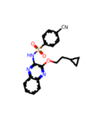 N#Cc1ccc(S(=O)(=O)Nc2nc3ccccc3nc2OCCC2CC2)cc1